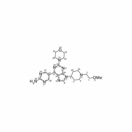 COCCN1CCC(n2cnc3c(-c4cnc(N)nc4)nc(N4CCOCC4)nc32)CC1